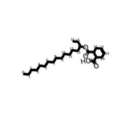 CCCCCCCCCCCCCCC(CC)OC(=O)C1CC=CCC1C(=O)O